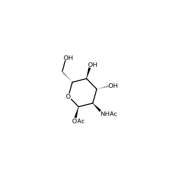 CC(=O)N[C@H]1[C@@H](OC(C)=O)O[C@H](CO)[C@@H](O)[C@@H]1O